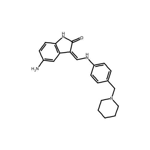 Nc1ccc2c(c1)C(=CNc1ccc(CN3CCCCC3)cc1)C(=O)N2